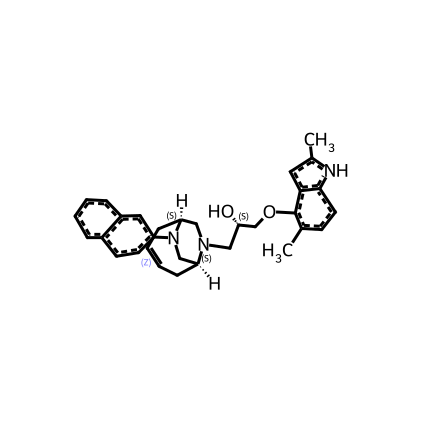 Cc1cc2c(OC[C@@H](O)CN3C[C@@H]4C/C=C\C[C@H]3CN4c3ccc4ccccc4c3)c(C)ccc2[nH]1